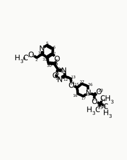 COCc1nccc2oc(-c3nc(COC4CCN(C(=O)OC(C)(C)C)CC4)no3)cc12